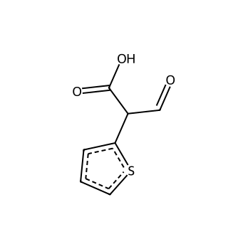 O=CC(C(=O)O)c1cccs1